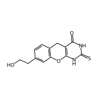 O=c1[nH]c(=S)[nH]c2c1Cc1ccc(CCO)cc1O2